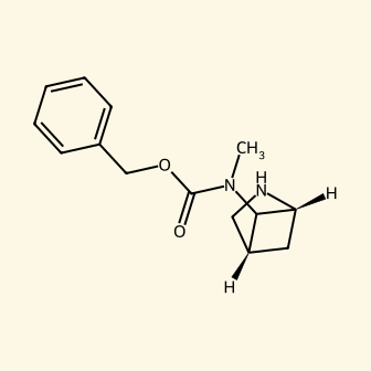 CN(C(=O)OCc1ccccc1)C1[C@H]2CN[C@@H]1C2